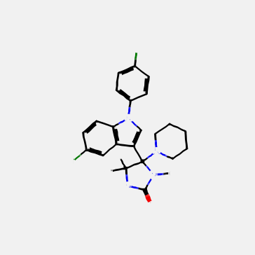 [2H]C1([2H])NC(=O)N(CC)C1(c1cn(-c2ccc(F)cc2)c2ccc(Cl)cc12)N1CCCCC1